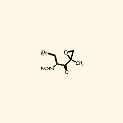 CC(=O)N[C@@H](CC(C)C)C(=O)[C@@]1(C)CO1